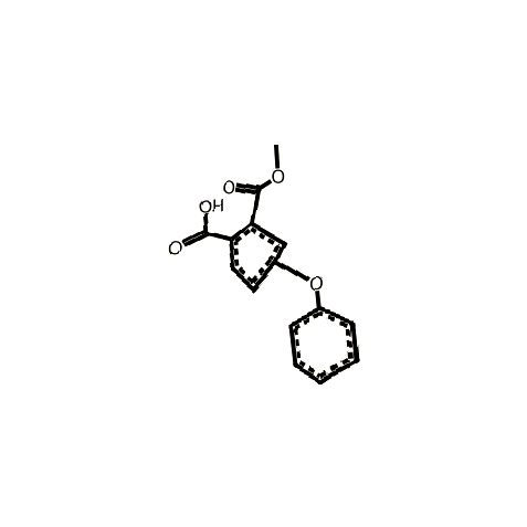 COC(=O)c1cc(Oc2ccccc2)ccc1C(=O)O